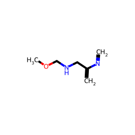 C=NC(=C)CNCOC